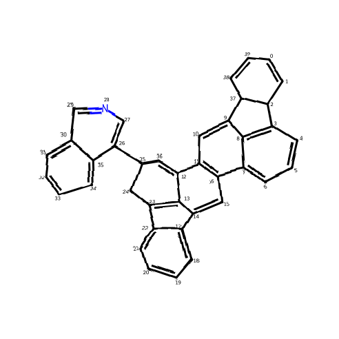 C1=CC2c3cccc4c3c(cc3c5c6c(cc34)-c3ccccc3C=6CC(c3cncc4ccccc34)C=5)C2C=C1